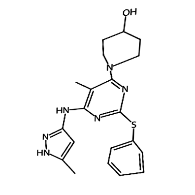 Cc1cc(Nc2nc(Sc3ccccc3)nc(N3CCC(O)CC3)c2C)n[nH]1